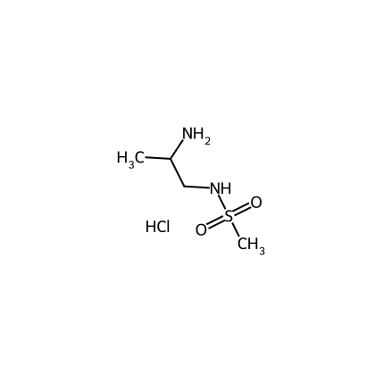 CC(N)CNS(C)(=O)=O.Cl